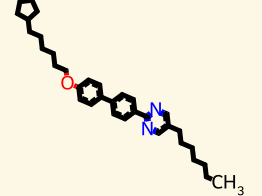 CCCCCCCc1cnc(-c2ccc(-c3ccc(OCCCCCCC4CCCC4)cc3)cc2)nc1